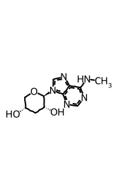 CNc1ncnc2c1ncn2[C@@H]1OC[C@@H](O)C[C@H]1O